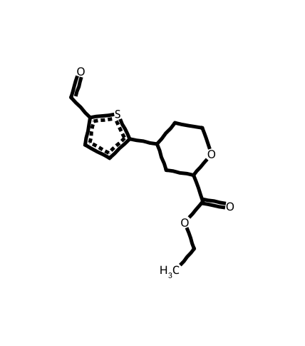 CCOC(=O)C1CC(c2ccc(C=O)s2)CCO1